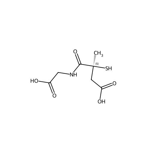 C[C@](S)(CC(=O)O)C(=O)NCC(=O)O